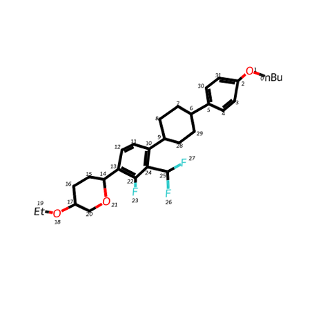 CCCCOc1ccc(C2CCC(c3ccc(C4CCC(OCC)CO4)c(F)c3C(F)F)CC2)cc1